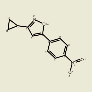 O=[N+]([O-])c1ccc(-c2cc(C3CC3)no2)cc1